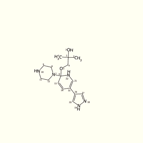 CC(C)(O)COC1(N2CCNCC2)C=CC(c2cn[nH]c2)=CN1